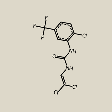 O=C(NC=C(Cl)Cl)Nc1cc(C(F)(F)F)ccc1Cl